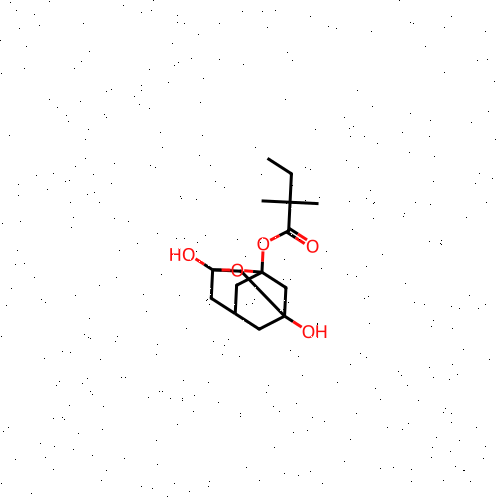 CCC(C)(C)C(=O)OC12CC3CC(O)(CC(O)(C3)O1)C2